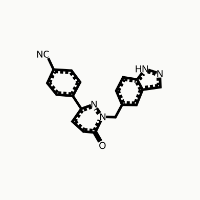 N#Cc1ccc(-c2ccc(=O)n(Cc3ccc4[nH]ncc4c3)n2)cc1